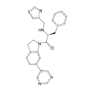 O=C([C@H](Cc1ccccc1)NCc1cscn1)N1CCc2ccc(-c3cncnc3)cc21